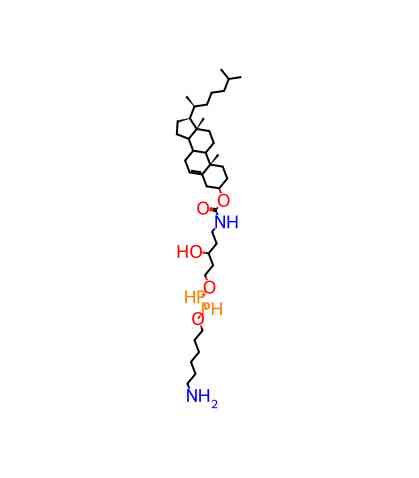 CC(C)CCC[C@H](C)[C@@H]1CCC2C3CC=C4C[C@H](OC(=O)NCCC(O)CCOPPOCCCCCCN)CC[C@@]4(C)C3CC[C@]21C